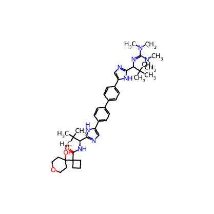 CN(C)C(=NC(c1ncc(-c2ccc(-c3ccc(-c4cnc([C@@H](NC(=O)C5(C6(O)CCOCC6)CCC5)C(C)(C)C)[nH]4)cc3)cc2)[nH]1)C(C)(C)C)N(C)C